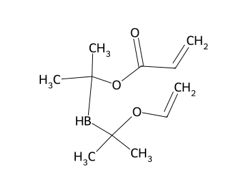 C=COC(C)(C)BC(C)(C)OC(=O)C=C